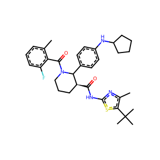 Cc1cccc(F)c1C(=O)N1CCC[C@H](C(=O)Nc2nc(C)c(C(C)(C)C)s2)C1c1ccc(NC2CCCC2)cc1